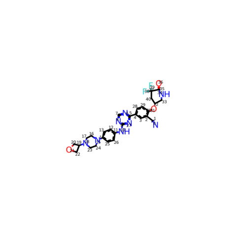 N#Cc1cc(-c2ncnc(Nc3ccc(N4CCN(C5COC5)CC4)cc3)n2)ccc1O[C@H]1CNC(=O)C(F)(F)C1